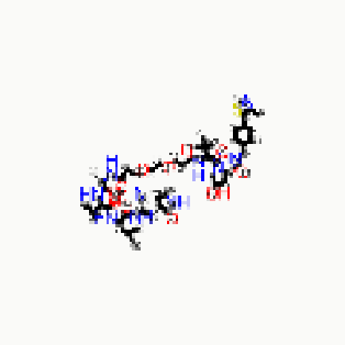 Cc1ncsc1-c1ccc(CNC(=O)[C@@H]2C[C@@H](O)CN2C(=O)[C@@H](NC(=O)CCOCCOCCC(=O)N[C@@H](C)C(=O)N[C@H](C(=O)N[C@@H](CC(C)C)C(=O)N[C@H](C#N)C[C@@H]2CCNC2=O)C(C)C)C(C)(C)C)cc1